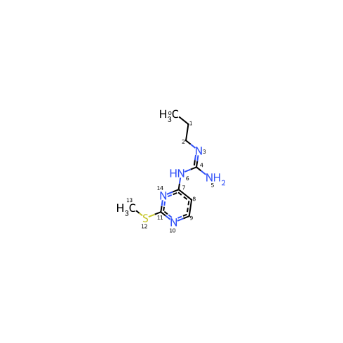 CCC/N=C(/N)Nc1ccnc(SC)n1